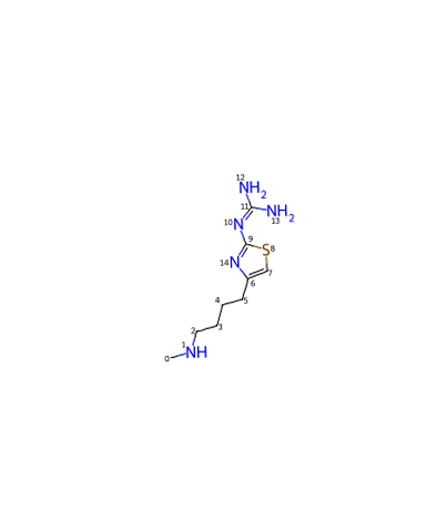 CNCCCCc1csc(N=C(N)N)n1